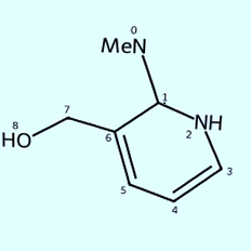 CN[C]1NC=CC=C1CO